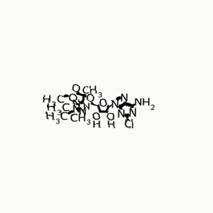 CCOC(=O)C(C)(OC[C@H]1O[C@@H](n2cnc3c(N)nc(Cl)nc32)[C@H](O)[C@@H]1O)c1nnn(C(C)(C)C)n1